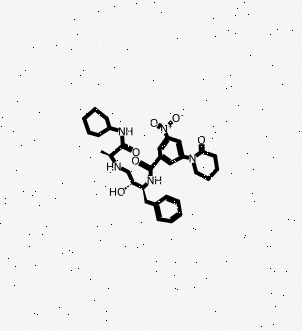 C[C@H](NC[C@@H](O)[C@H](Cc1ccccc1)NC(=O)c1cc(N2CCCCC2=O)cc([N+](=O)[O-])c1)C(=O)NC1CCCCC1